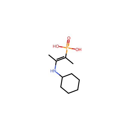 CC(NC1CCCCC1)=C(C)P(=O)(O)O